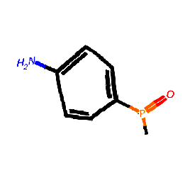 C[P](=O)c1ccc(N)cc1